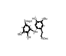 CCCCCCCCCCCCc1ccc(O)c(C(C)(C)C)c1.CCCCCCCc1cc(C(C)(C)C)c(O)c(C(C)(C)C)c1